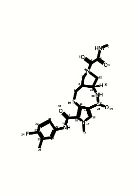 CNC(=O)C(=O)N1CC2CSc3c(cn(C)c3C(=O)Nc3ccc(F)c(C)c3)[S+]([O-])N[C@H]2C1